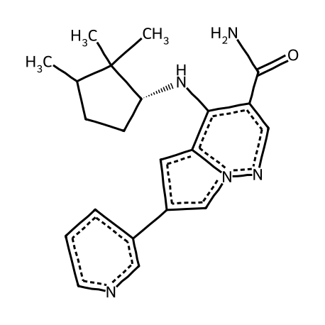 CC1CC[C@@H](Nc2c(C(N)=O)cnn3cc(-c4cccnc4)cc23)C1(C)C